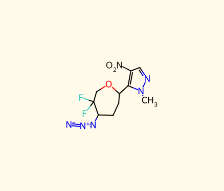 Cn1ncc([N+](=O)[O-])c1C1CCC(N=[N+]=[N-])C(F)(F)CO1